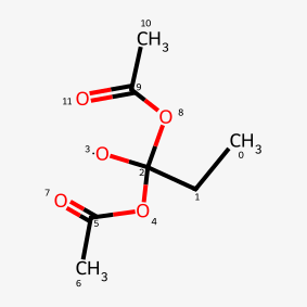 CCC([O])(OC(C)=O)OC(C)=O